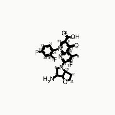 Cc1c(F)c(N2CC(N)C3OCCC32)nc2c1c(=O)c(C(=O)O)cn2-c1ccc(F)cc1F